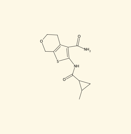 CC1CC1C(=O)Nc1sc2c(c1C(N)=O)CCOC2